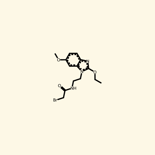 CCOc1nc2ccc(OC)cc2n1CCNC(=O)CBr